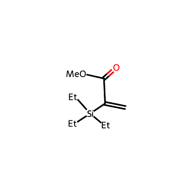 C=C(C(=O)OC)[Si](CC)(CC)CC